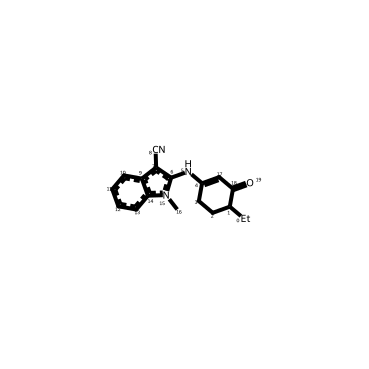 CCC1CCC(Nc2c(C#N)c3ccccc3n2C)=CC1=O